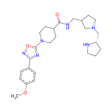 COc1ccc(-c2noc(N3CCC(C(=O)NCC4CCN(C[C@@H]5CCCN5)C4)CC3)n2)cc1